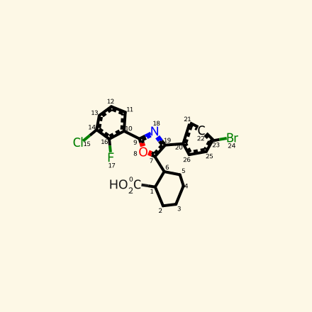 O=C(O)C1CCCCC1c1oc(-c2cccc(Cl)c2F)nc1-c1ccc(Br)cc1